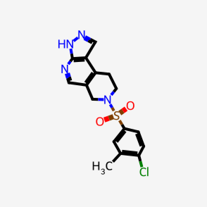 Cc1cc(S(=O)(=O)N2CCc3c(cnc4[nH]ncc34)C2)ccc1Cl